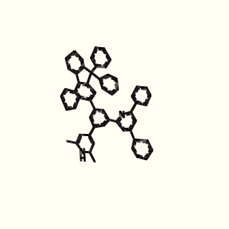 CC1=CC(c2cc(-c3cc(-c4ccccc4)cc(-c4ccccc4)n3)cc(-c3cc4c(c5ccccc35)-c3ccccc3C4(c3ccccc3)c3ccccc3)c2)=CC(C)N1